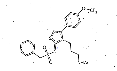 CC(=O)NCCCn1c(-c2ccc(OC(F)(F)F)cc2)cs/c1=N\S(=O)(=O)Cc1ccccc1